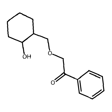 O=C(COCC1CCCCC1O)c1ccccc1